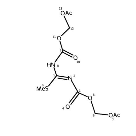 CS/C(=N\C(=O)OCOC(C)=O)NC(=O)OCOC(C)=O